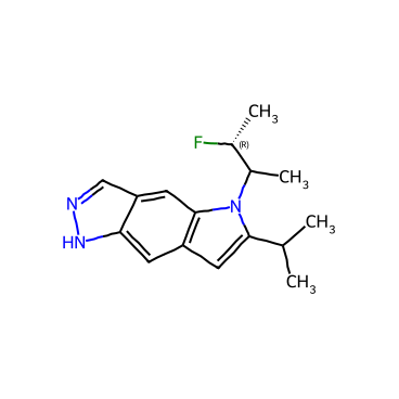 CC(C)c1cc2cc3[nH]ncc3cc2n1C(C)[C@@H](C)F